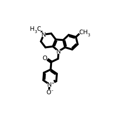 Cc1ccc2c(c1)c1c(n2CC(=O)c2cc[n+]([O-])cc2)CCN(C)C1